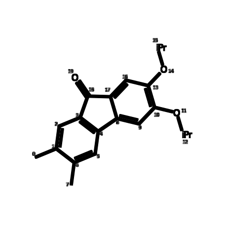 Cc1cc2c(cc1C)-c1cc(OC(C)C)c(OC(C)C)cc1C2=O